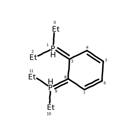 CC[PH](CC)=C1C=CC=CC1=[PH](CC)CC